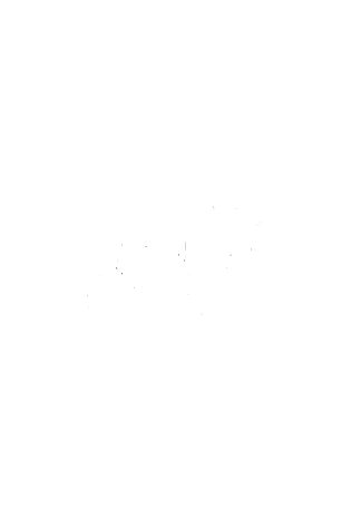 CC(=O)N1CCC(Nc2ccccc2-c2ccccc2)CC1